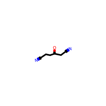 N#CCCC(=O)CC#N